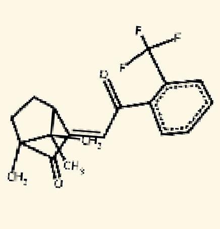 CC12CCC(/C(=C\C(=O)c3ccccc3C(F)(F)F)C1=O)C2(C)C